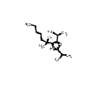 CCCCCC(C)(C)c1[nH]c(C(C)C)nc1C(C)C